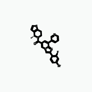 C[C@@H]1c2ccsc2CCN1C(=O)c1cc(-c2cccnc2)c2nc(-c3ccc(Br)cc3F)cn2c1